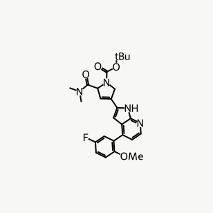 COc1ccc(F)cc1-c1ccnc2[nH]c(C3=CC(C(=O)N(C)C)N(C(=O)OC(C)(C)C)C3)cc12